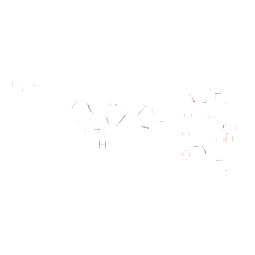 C=C(CO)C(=O)OCC(COC(=O)C(=C)COC)c1ccc(-c2ccc(C3=CC=C(CCCCC)CC3C)cc2CC)cc1